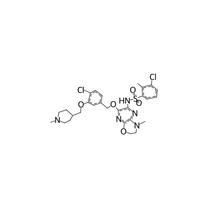 Cc1c(Cl)cccc1S(=O)(=O)Nc1nc2c(nc1OCc1ccc(Cl)c(OCC3CCN(C)CC3)c1)OCCN2C